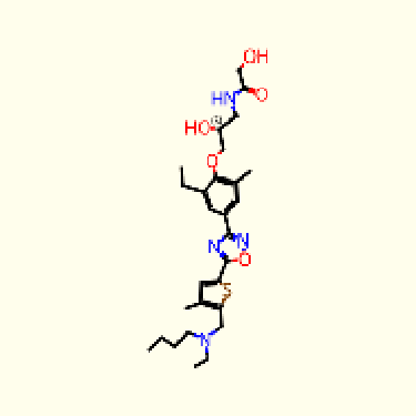 CCCCN(CC)Cc1sc(-c2nc(-c3cc(C)c(OC[C@@H](O)CNC(=O)CO)c(CC)c3)no2)cc1C